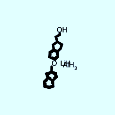 OCCC1CCc2cc(OCc3ccc4ccccc4c3)ccc2C1.[AlH3].[LiH]